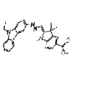 CCn1c2ccccc2c2cc(N=NC=C3N(C)c4ccc(C(=O)OC)cc4C3(C)C)ccc21